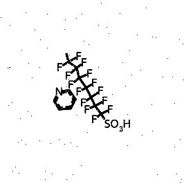 CC(F)(F)C(F)(F)C(F)(F)C(F)(F)C(F)(F)C(F)(F)C(F)(F)S(=O)(=O)O.c1ccncc1